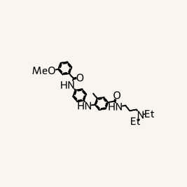 CCN(CC)CCCNC(=O)c1ccc(Nc2ccc(NC(=O)c3cccc(OC)c3)cc2)c(C)c1